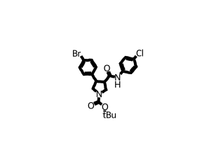 CC(C)(C)OC(=O)N1CC(C(=O)Nc2ccc(Cl)cc2)C(c2ccc(Br)cc2)C1